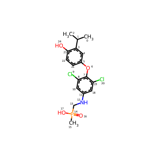 CC(C)c1cc(Oc2c(Cl)cc(NCP(C)(=O)O)cc2Cl)ccc1O